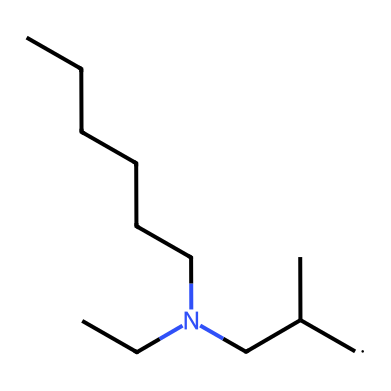 [CH2]C(C)CN(CC)CCCCCC